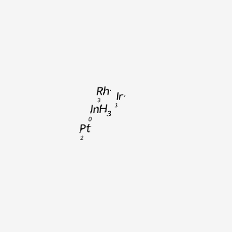 [InH3].[Ir].[Pt].[Rh]